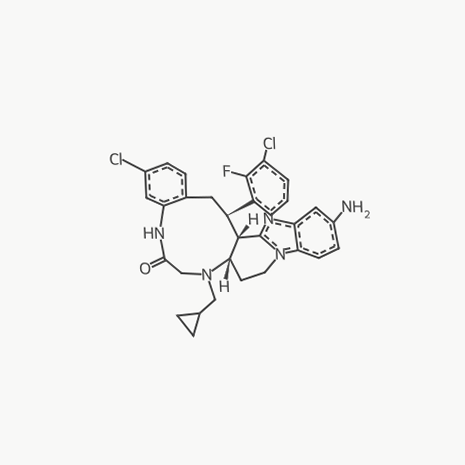 Nc1ccc2c(c1)nc1n2CC[C@H]2[C@@H]1[C@H](c1cccc(Cl)c1F)Cc1ccc(Cl)cc1NC(=O)CN2CC1CC1